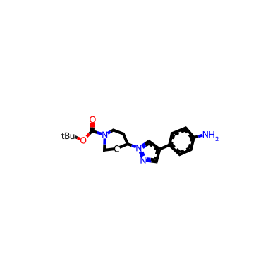 CC(C)(C)OC(=O)N1CCC(n2cc(-c3ccc(N)cc3)cn2)CC1